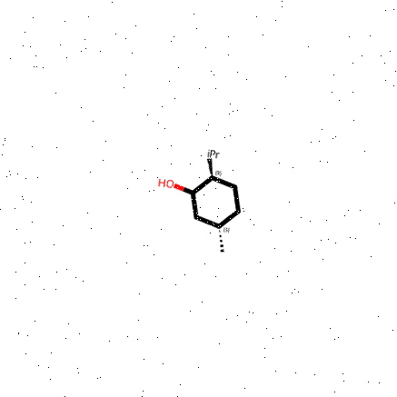 CC(C)[C@H]1CC[C@H](C)CC1O